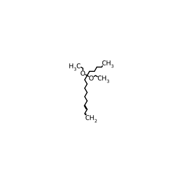 C=CC=CCCCCCCC(CCCCC)(OCC)OCC